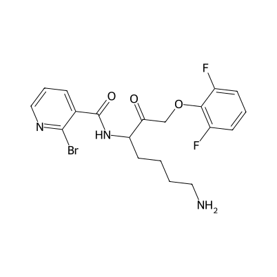 NCCCCC(NC(=O)c1cccnc1Br)C(=O)COc1c(F)cccc1F